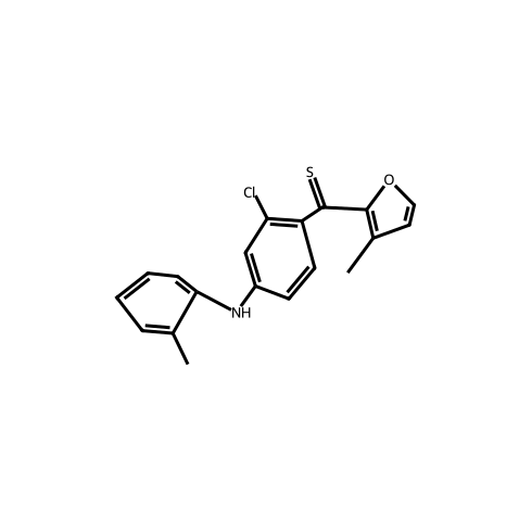 Cc1ccccc1Nc1ccc(C(=S)c2occc2C)c(Cl)c1